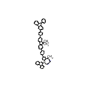 C=C1/C=C\C=C/CN(c2cc3ccccc3c3ccccc23)c2ccc(-c3ccc(-c4ccc5c(c4)C(C)(C)c4cc(-c6ccc(-c7ccc8c(c7)c7ccccc7n8-c7ccccc7)cc6)ccc4-5)cc3)cc21